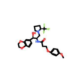 COc1ccc(OCCC(=O)N[C@H](CN2CCC[C@H]2C(F)(F)F)[C@H](O)c2ccc3c(c2)OCCO3)cc1